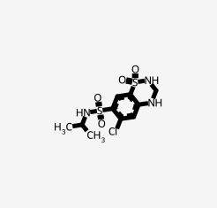 CC(C)NS(=O)(=O)c1cc2c(cc1Cl)NCNS2(=O)=O